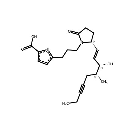 CCC#CC[C@@H](C)[C@@H](O)C=C[C@H]1CCC(=O)N1CCCc1ccc(C(=O)O)s1